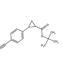 CC(C)(C)OC(=O)C1CC1c1ccc(C#N)cc1